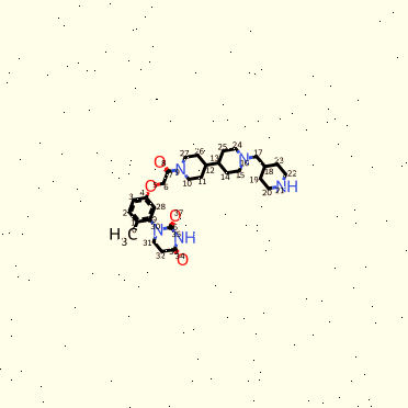 Cc1ccc(OCC(=O)N2CCC(C3CCN(CC4CCNCC4)CC3)CC2)cc1N1CCC(=O)NC1=O